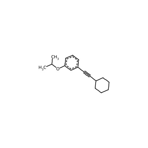 CC(C)Oc1cccc(C#CC2CCCCC2)c1